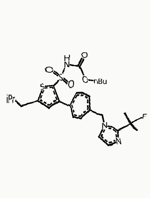 CCCCOC(=O)NS(=O)(=O)c1sc(CC(C)C)cc1-c1ccc(Cn2ccnc2C(C)(C)F)cc1